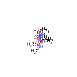 C=CCCC(NC(=O)[C@@H]1[C@H]2[C@@H](CN1C(=O)C(CC1CCCCC1)NC(=O)OC(C)(C)C)C2(C)C)C(=O)C(=O)NCC=C